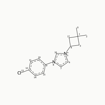 CC1(C)CC([n+]2ccn(-c3ccc(Cl)cc3)c2)C1